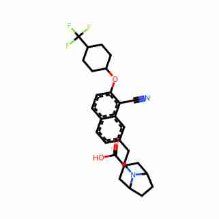 N#Cc1c(OC2CCC(C(F)(F)F)CC2)ccc2ccc(CCN3C4CCC3CC(C(=O)O)C4)cc12